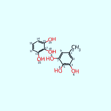 Cc1cc(O)c(O)c(O)c1.Oc1cccc(O)c1O